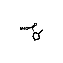 COC(=O)[C@H]1CCCC1C